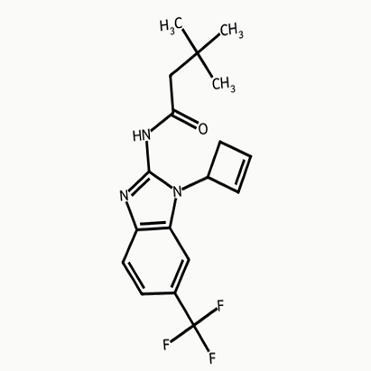 CC(C)(C)CC(=O)Nc1nc2ccc(C(F)(F)F)cc2n1C1C=CC1